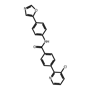 O=C(Nc1ccc(-c2cnco2)cc1)c1ccc(-c2ncccc2Cl)cc1